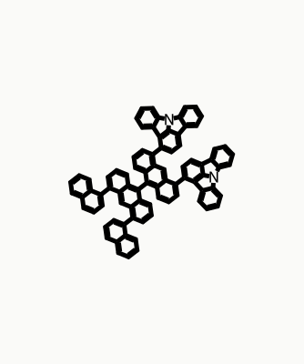 c1ccc2c(-c3cccc4c(-c5c6cccc(-c7ccc8c9ccccc9n9c%10ccccc%10c7c89)c6cc6c(-c7ccc8c9ccccc9n9c%10ccccc%10c7c89)cccc56)c5cccc(-c6cccc7ccccc67)c5cc34)cccc2c1